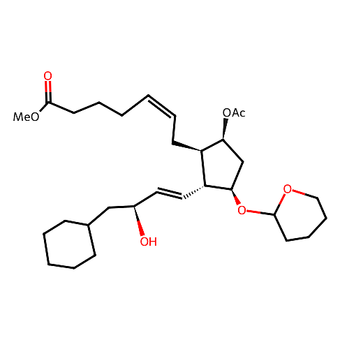 COC(=O)CCC/C=C\C[C@@H]1[C@@H](/C=C/[C@@H](O)CC2CCCCC2)[C@H](OC2CCCCO2)C[C@@H]1OC(C)=O